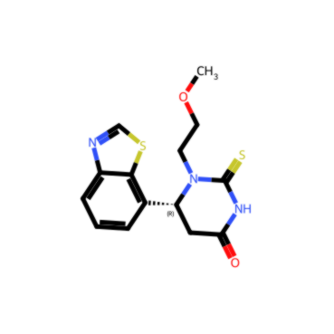 COCCN1C(=S)NC(=O)C[C@@H]1c1cccc2ncsc12